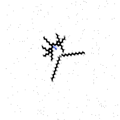 CCCCCCC1=C(c2cc(CCCC)c(CCCC)c(CCCC)c2)[N+](=[N-])C(c2cc(CCCC)c(CCCC)c(CCCC)c2)=C1.CCCCCCCCCCCCC[CH2][Ni][CH2]CCCCCCCCCCCCC